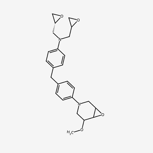 COC1CN(c2ccc(Cc3ccc(N(CC4CO4)C[C@@H]4CO4)cc3)cc2)CC2OC12